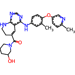 Cc1ccc(Oc2ccc(Nc3ncnc4c3C=C(C(=O)N3CCCC(O)C3)CCN4)cc2C)cn1